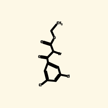 CCOC(=O)C(Br)C(=O)c1cc(Cl)cc(Cl)c1